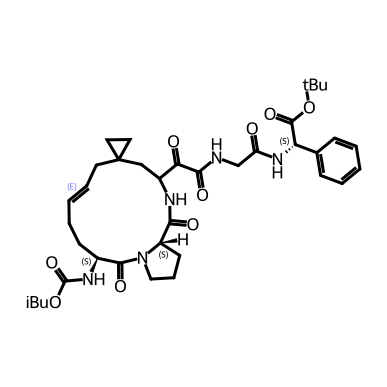 CC(C)COC(=O)N[C@H]1CC/C=C/CC2(CC2)CC(C(=O)C(=O)NCC(=O)N[C@H](C(=O)OC(C)(C)C)c2ccccc2)NC(=O)[C@@H]2CCCN2C1=O